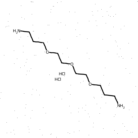 Cl.Cl.NCCCOCCOCCOCCCN